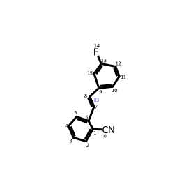 N#Cc1ccccc1/C=C/c1cccc(F)c1